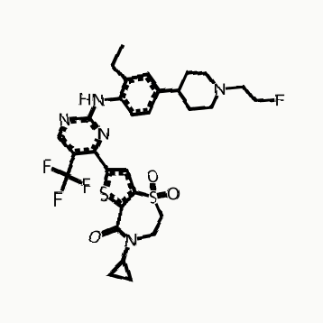 CCc1cc(C2CCN(CCF)CC2)ccc1Nc1ncc(C(F)(F)F)c(-c2cc3c(s2)C(=O)N(C2CC2)CCS3(=O)=O)n1